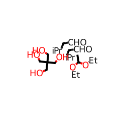 CC(C)CC=O.CC(C)CC=O.CCOC(C)OCC.OCC(CO)(CO)CO